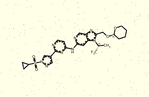 C[C@@H](n1c(CO[C@@H]2CCCCO2)nc2cnc(Nc3ccnc(-c4cnn(S(=O)(=O)C5CC5)c4)n3)cc21)C(F)(F)F